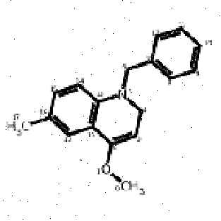 COC1=CCN(Cc2ccccc2)c2ccc(C)cc21